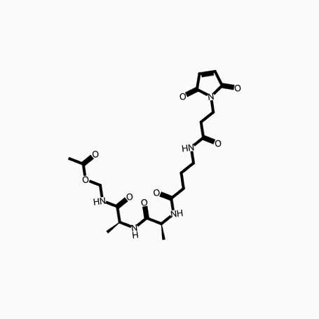 CC(=O)OCNC(=O)[C@H](C)NC(=O)[C@H](C)NC(=O)CCCNC(=O)CCN1C(=O)C=CC1=O